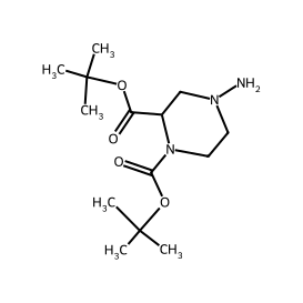 CC(C)(C)OC(=O)C1CN(N)CCN1C(=O)OC(C)(C)C